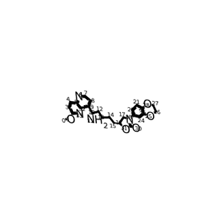 COc1ccc2nccc([C@H](N)CCCC[C@H]3CN(c4ccc5c(c4)OCCO5)C(=O)O3)c2n1